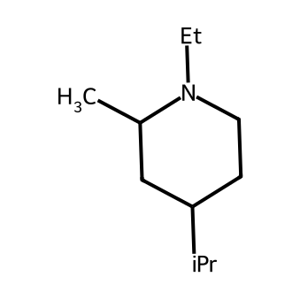 CCN1CCC(C(C)C)CC1C